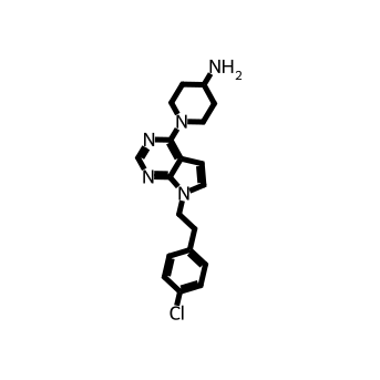 NC1CCN(c2ncnc3c2ccn3CCc2ccc(Cl)cc2)CC1